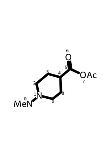 CNN1CCC(C(=O)OC(C)=O)CC1